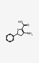 NC1=C(C(=O)O)SC(c2ccccc2)C1